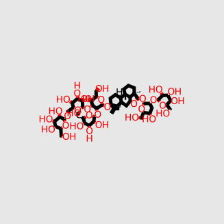 C=C1C[C@@]23CCC4[C@](C)(C(=O)OC5OC(CO)C(O)CC5OC5OC(CO)C(O)C(O)C5O)CCC[C@@]4(C)[C@@H]2CC[C@]1(OC1OC(CO)C(O)C(OC2OC(COC4OC(CO)C(O)C(O)C4O)C(O)C(O)C2O)C1OC1OC(CO)C(O)C(O)C1O)C3